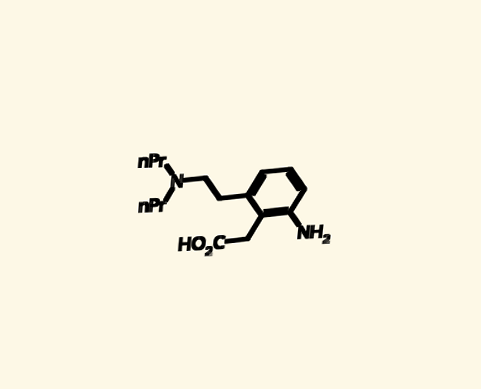 CCCN(CCC)CCc1cccc(N)c1CC(=O)O